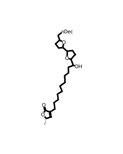 CCCCCCCCCCCC1CCC(C2CCC(C(O)CCCCCCCCCCC3=C[C@H](C)OC3=O)O2)O1